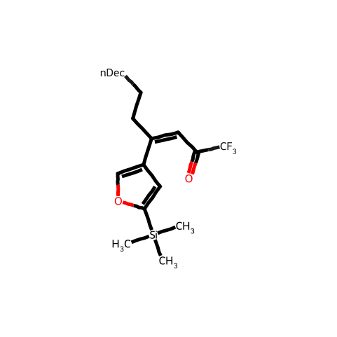 CCCCCCCCCCCC/C(=C/C(=O)C(F)(F)F)c1coc([Si](C)(C)C)c1